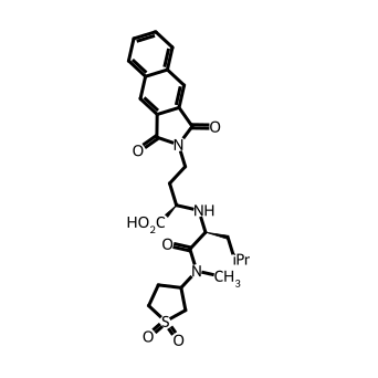 CC(C)C[C@H](N[C@H](CCN1C(=O)c2cc3ccccc3cc2C1=O)C(=O)O)C(=O)N(C)C1CCS(=O)(=O)C1